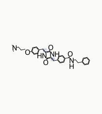 CN(C)CCCOc1ccc(/C=c2\[nH]c(=O)/c(=C/c3ccc(C(=O)NCCc4ccccc4)cc3)[nH]c2=O)cc1